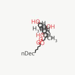 CCCCCCCCCCCCCCCC(=O)OC(=O)CC[C@@H](C)[C@H]1CC[C@H]2[C@@H]3[C@H](O)C[C@@H]4C[C@H](O)CC[C@]4(C)[C@H]3C[C@H](O)[C@]12C